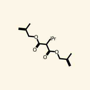 C=C(C)COC(=O)C(C(=O)OCC(=C)C)C(C)C